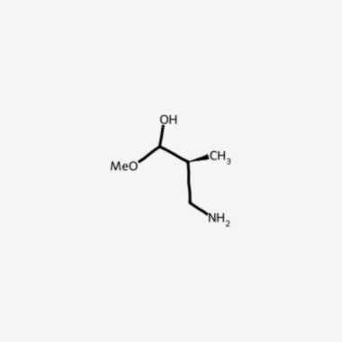 COC(O)[C@@H](C)CN